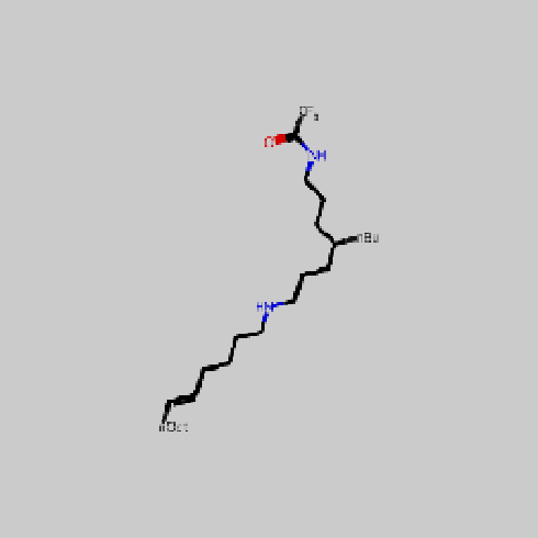 CCCCCCCCC=CCCCCNCCCC(CCCC)CCCNC(=O)C(F)(F)F